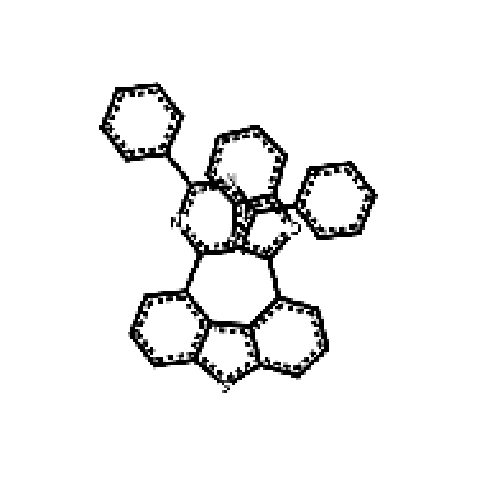 c1ccc(-c2nc(-c3ccccc3)nc(-c3cccc4sc5cccc(-c6nc7ccccc7o6)c5c34)n2)cc1